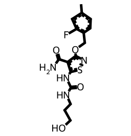 Cc1ccc(COc2nsc(NC(=O)NCCCO)c2C(N)=O)c(F)c1